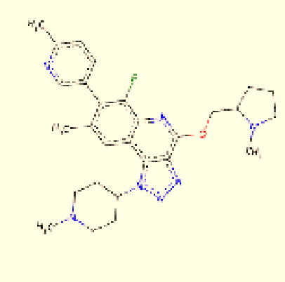 Cc1ccc(-c2c(C)cc3c(nc(OCC4CCCN4C)c4nnn(C5CCN(C)CC5)c43)c2F)cn1